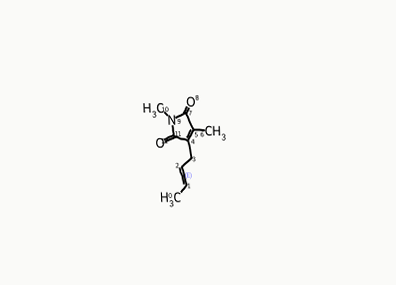 C/C=C/CC1=C(C)C(=O)N(C)C1=O